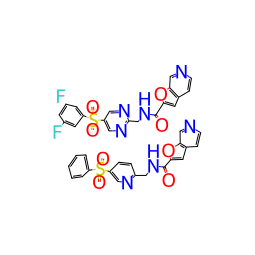 O=C(NCc1ccc(S(=O)(=O)c2ccccc2)cn1)c1cc2ccncc2o1.O=C(NCc1ncc(S(=O)(=O)c2cc(F)cc(F)c2)cn1)c1cc2ccncc2o1